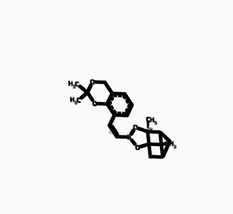 CC1(C)OCc2cccc(/C=C\B3OC45CC6CC(C64C)[C@]5(C)O3)c2O1